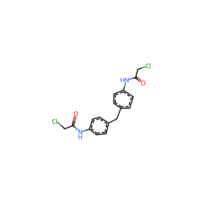 O=C(CCl)Nc1ccc(Cc2ccc(NC(=O)CCl)cc2)cc1